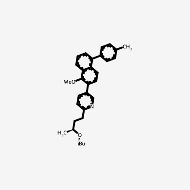 CC[C@@H](C)O[C@@H](C)CCc1ccc(-c2ccc3c(-c4ccc(C)cc4)cccc3c2OC)cn1